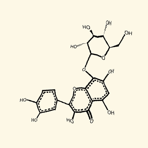 O=c1c(O)c(-c2ccc(O)c(O)c2)oc2c(OC3O[C@H](CO)[C@@H](O)[C@H](O)[C@H]3O)c(O)cc(O)c12